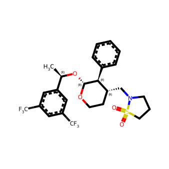 C[C@@H](O[C@H]1OCC[C@@H](CN2CCCS2(=O)=O)[C@@H]1c1ccccc1)c1cc(C(F)(F)F)cc(C(F)(F)F)c1